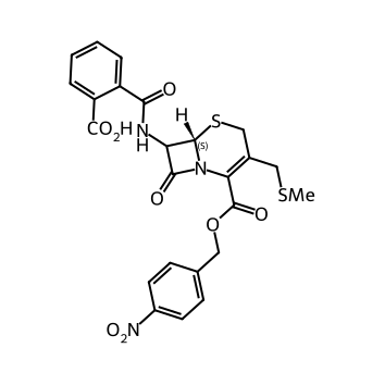 CSCC1=C(C(=O)OCc2ccc([N+](=O)[O-])cc2)N2C(=O)C(NC(=O)c3ccccc3C(=O)O)[C@@H]2SC1